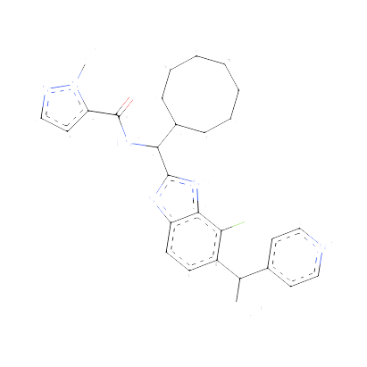 CCOC(=O)C(c1ccncc1)c1ccc2[nH]c(C(NC(=O)c3ccnn3CC)C3CCCCCCC3)nc2c1F